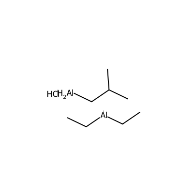 CC(C)[CH2][AlH2].C[CH2][Al][CH2]C.Cl